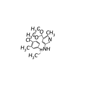 CC[C@@H](Nc1cnc(C)c(C(OC)OC)c1)c1ccc(Cl)c(C)c1